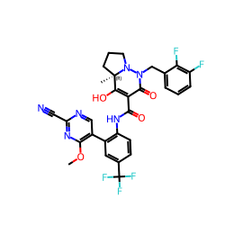 COc1nc(C#N)ncc1-c1cc(C(F)(F)F)ccc1NC(=O)C1=C(O)[C@@]2(C)CCCN2N(Cc2cccc(F)c2F)C1=O